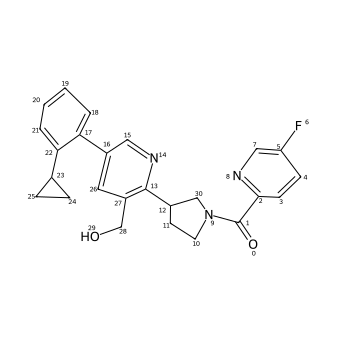 O=C(c1ccc(F)cn1)N1CCC(c2ncc(-c3ccccc3C3CC3)cc2CO)C1